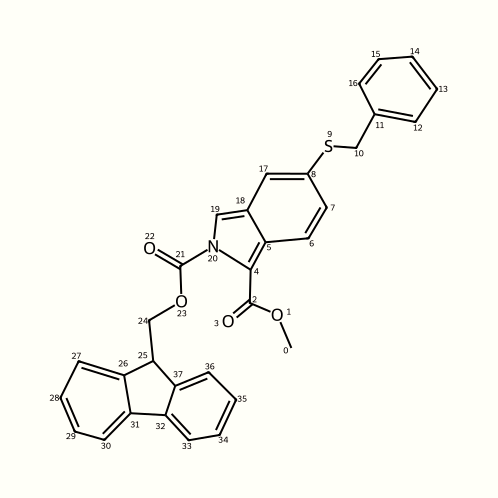 COC(=O)c1c2ccc(SCc3ccccc3)cc2cn1C(=O)OCC1c2ccccc2-c2ccccc21